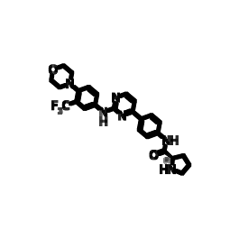 O=C(Nc1ccc(-c2ccnc(Nc3ccc(N4CCOCC4)c(C(F)(F)F)c3)n2)cc1)[C@H]1CCCN1